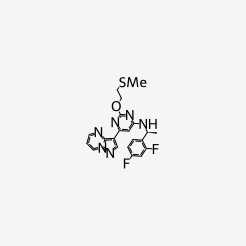 CSCCOc1nc(N[C@@H](C)c2ccc(F)cc2F)cc(-c2cnn3cccnc23)n1